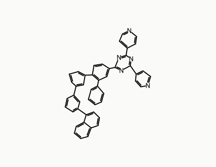 c1ccc(-c2cc(-c3nc(-c4ccncc4)nc(-c4ccncc4)n3)ccc2-c2cccc(-c3cccc(-c4cccc5ccccc45)c3)c2)cc1